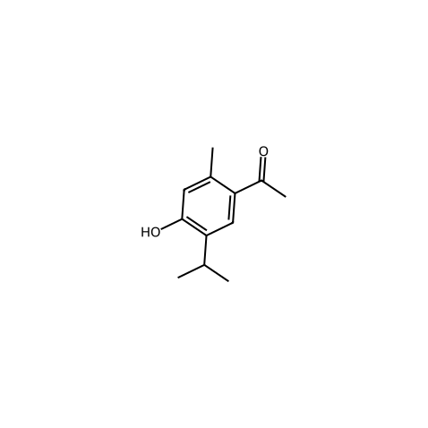 CC(=O)c1cc(C(C)C)c(O)cc1C